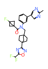 Cc1ncc(-c2cccc(N(CC34CCC(c5noc(C(F)F)n5)(CC3)CC4)C(=O)C34CC(F)(C3)C4)c2)cn1